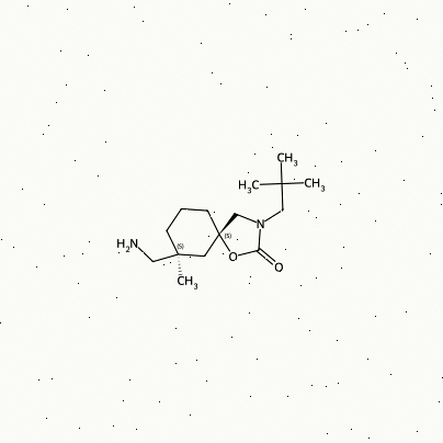 CC(C)(C)CN1C[C@@]2(CCC[C@](C)(CN)C2)OC1=O